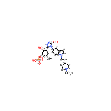 CC(C)c1cc(-c2nnc(O)n2-c2ccc3c(ccn3CCC3CCN(C(=O)O)CC3)c2)c(O)cc1OP(=O)(O)O